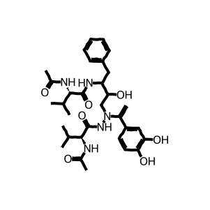 C=C(c1ccc(O)c(O)c1)N(CC(O)C(Cc1ccccc1)NC(=O)[C@@H](NC(C)=O)C(C)C)NC(=O)[C@@H](NC(C)=O)C(C)C